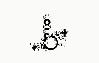 CC[C@@H]1C[C@H](C)CC/C=C\[C@@H]2C[C@@]2(C(=O)NS(=O)(=O)C2(C)CC2)NC(=O)[C@@H]2C[C@@H](Oc3cnc4ccc(OC)cc4n3)CN2C(=O)[C@H]1NC(=O)OC(C)(C)C(F)(F)F